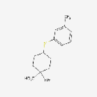 CCCC1(C(=O)O)CCC(Sc2cccc(C(F)(F)F)c2)CC1